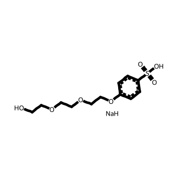 O=S(=O)(O)c1ccc(OCCOCCOCCO)cc1.[NaH]